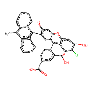 Cc1c2ccccc2c(-c2cc3c(-c4ccc(C(=O)O)cc4C(=O)O)c4cc(Cl)c(O)cc4oc-3cc2=O)c2ccccc12